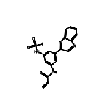 C=CC(=O)Nc1cc(NS(=O)(=O)I)cc(-c2cnc3ccccc3n2)c1